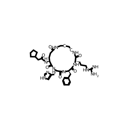 N=C(N)NCCC[C@@H]1NC(=O)[C@@H](Cc2ccccc2)NC(=O)[C@H](Cc2c[nH]cn2)NC(=O)[C@@H](NC(=O)CC2CCCC2)CCC(=O)NCCCCNC1=O